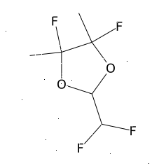 CC1(F)OC(C(F)F)OC1(C)F